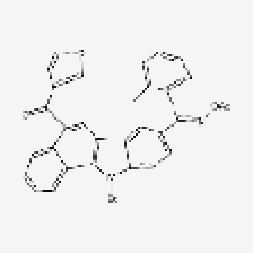 CCn1c2ccc(/C(=N/OC(C)=O)c3ccccc3C)cc2c2cc(C(=O)c3ccoc3)c3ccccc3c21